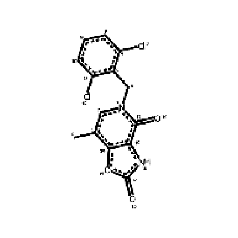 Cc1cn(Cc2c(Cl)cccc2Cl)c(=O)c2[nH]c(=O)oc12